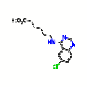 CCOC(=O)CCCCCNc1ncnc2ccc(Cl)cc12